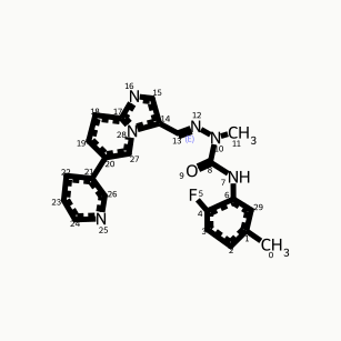 Cc1ccc(F)c(NC(=O)N(C)/N=C/c2cnc3ccc(-c4cccnc4)cn23)c1